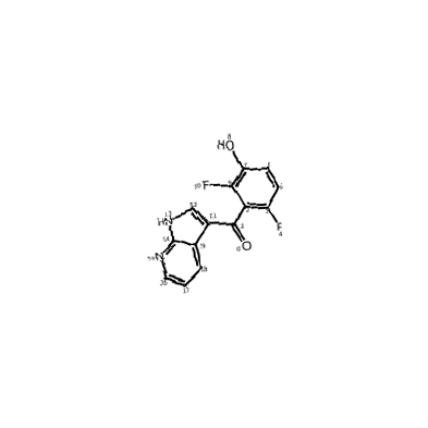 O=C(c1c(F)ccc(O)c1F)c1c[nH]c2ncccc12